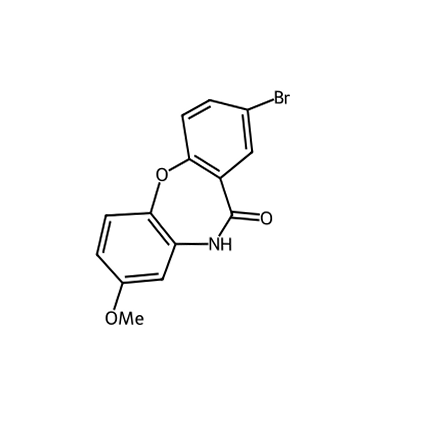 COc1ccc2c(c1)NC(=O)c1cc(Br)ccc1O2